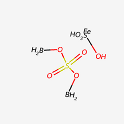 BOS(=O)(=O)OB.O=S(=O)(O)O.[Fe]